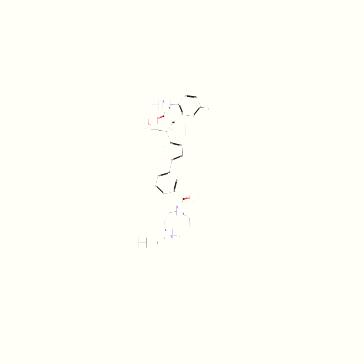 [2H]C(c1ccc(-c2cccc(C(=O)N3CCCN(C)CC3)c2)o1)C1([2H])C(=O)Nc2ccc(Cl)cc21